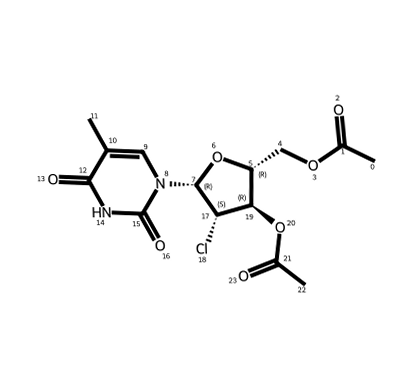 CC(=O)OC[C@H]1O[C@@H](n2cc(C)c(=O)[nH]c2=O)[C@@H](Cl)[C@@H]1OC(C)=O